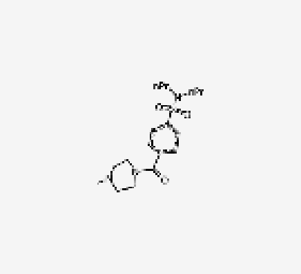 CCCN(CCC)S(=O)(=O)c1ccc(C(=O)N2CCN(C)CC2)cc1